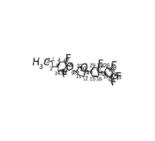 CCCc1cc(F)c(OCC2CCC(c3ccc(-c4cc(F)c(F)c(F)c4)c(F)c3)OC2)c(F)c1